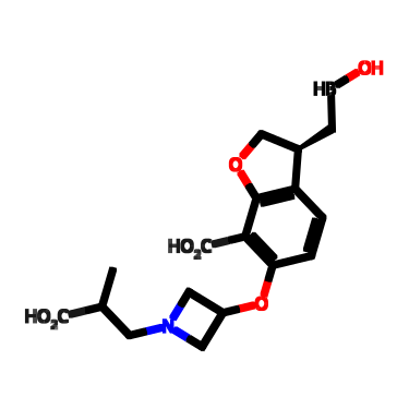 CC(CN1CC(Oc2ccc3c(c2C(=O)O)OC[C@H]3CBO)C1)C(=O)O